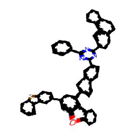 c1ccc(-c2nc(-c3ccc4ccc(-c5cc(-c6ccc7sc8ccccc8c7c6)cc6oc7ccccc7c56)cc4c3)nc(-c3ccc4ccc5ccccc5c4c3)n2)cc1